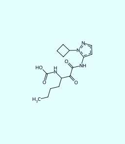 CCCCC(NC(=O)O)C(=O)C(=O)Nc1ccnn1C1CCC1